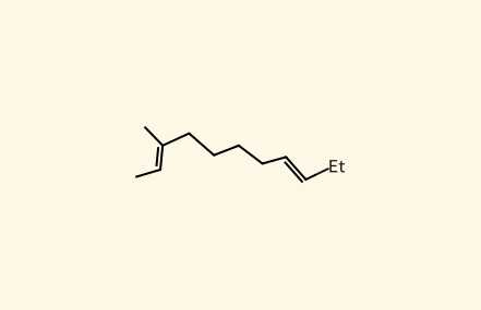 CC=C(C)CCCCC=CCC